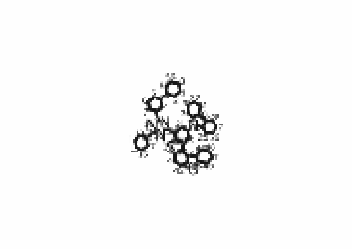 c1ccc(-c2cccc(-c3nc(-c4ccccc4)nc(-c4cc(-n5c6ccccc6c6ccccc65)cc5c4sc4ccc6oc7ccccc7c6c45)n3)c2)cc1